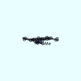 C=CC(=O)OCCCCCCOc1ccc(OC(=O)[C@H]2CC[C@H](C(=O)Oc3ccc(OC(=O)[C@H]4CC[C@H](C(=O)Oc5ccc(OCCCCCCOC(=O)C=C)cc5)CC4)c(/C=N/N(COCCOC)c4nc5ccccc5s4)c3)CC2)cc1